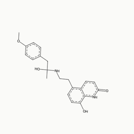 COc1ccc(CC(C)(O)NCCc2ccc(O)c3[nH]c(=O)ccc23)cc1